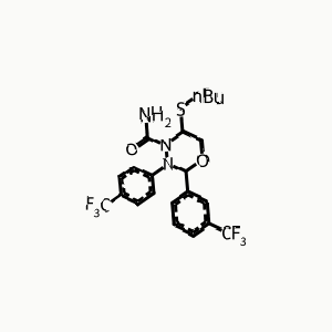 CCCCSC1COC(c2cccc(C(F)(F)F)c2)N(c2ccc(C(F)(F)F)cc2)N1C(N)=O